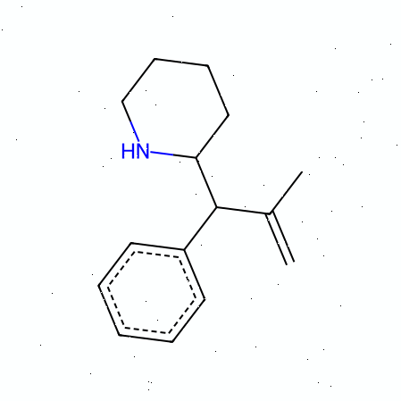 C=C(C)C(c1ccccc1)C1CCCCN1